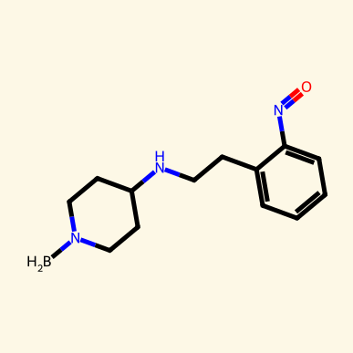 BN1CCC(NCCc2ccccc2N=O)CC1